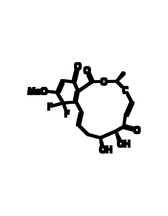 COC1=CC(=O)C2=C(/C=C/C[C@H](O)[C@H](O)C(=O)/C=C/C[C@H](C)OC2=O)C1(F)F